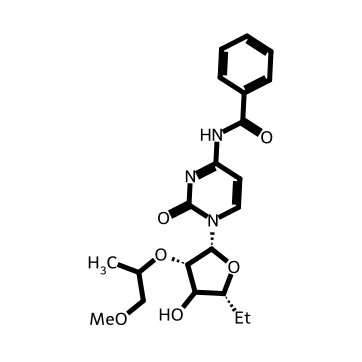 CC[C@H]1O[C@@H](n2ccc(NC(=O)c3ccccc3)nc2=O)[C@@H](OC(C)COC)C1O